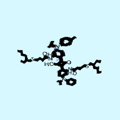 CCCCC(CC)CSCCCC(=O)NC1=CC(=[N+](/c2ccc(C)cc2)C(C)C)/C=CC/1=C1\C(=O)C(c2ccc(N(c3ccccc3)C(C)C)cc2NC(=O)CCCSCC(CC)CCCC)=C1O